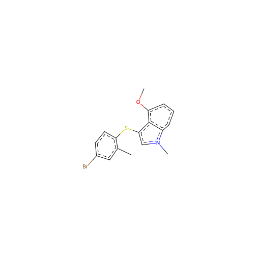 COc1cccc2c1c(Sc1ccc(Br)cc1C)cn2C